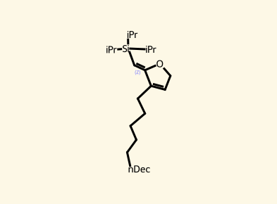 CCCCCCCCCCCCCCCC1=CCO/C1=C\[Si](C(C)C)(C(C)C)C(C)C